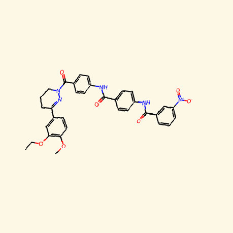 CCOc1cc(C2=NN(C(=O)c3ccc(NC(=O)c4ccc(NC(=O)c5cccc([N+](=O)[O-])c5)cc4)cc3)CCC2)ccc1OC